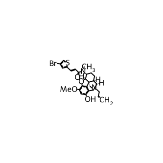 C=CCN1CC[C@]23c4c5c(O)cc(OC)c4O[C@H]2[C@@H](N(C)C(=O)/C=C/c2cc(Br)cs2)CC[C@H]3[C@H]1C5